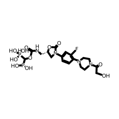 O=C(NC[C@H]1CN(c2ccc(N3CCN(C(=O)CO)CC3)c(F)c2)C(=O)O1)OC(P(O)O)[PH](O)(O)O